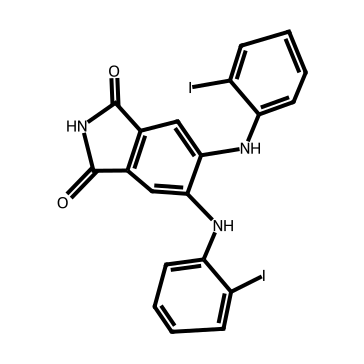 O=C1NC(=O)c2cc(Nc3ccccc3I)c(Nc3ccccc3I)cc21